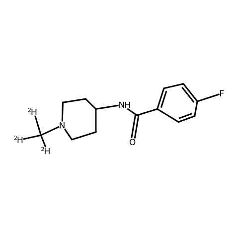 [2H]C([2H])([2H])N1CCC(NC(=O)c2ccc(F)cc2)CC1